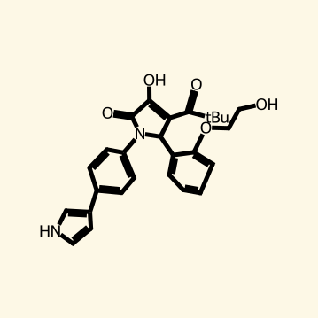 CC(C)(C)C(=O)C1=C(O)C(=O)N(c2ccc(-c3cc[nH]c3)cc2)C1c1ccccc1OCCO